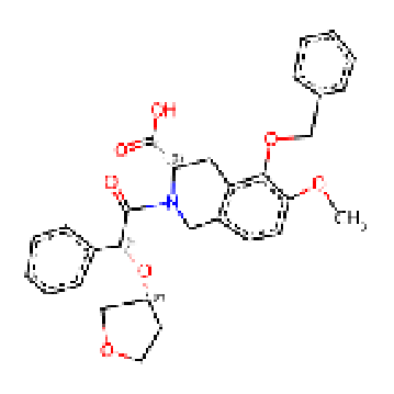 COc1ccc2c(c1OCc1ccccc1)C[C@@H](C(=O)O)N(C(=O)[C@H](O[C@@H]1CCOC1)c1ccccc1)C2